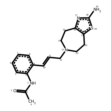 CC(=O)Nc1ccccc1C=CCN1CCc2nc(N)sc2CC1